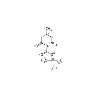 CC(CN)CC(=O)OC(=O)OC(C)(C)C